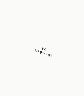 [O]=[Pt][OH].[Pd]